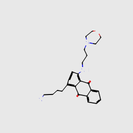 NCCCCc1ccc(NCCCN2CCOCC2)c2c1C(=O)c1ccccc1C2=O